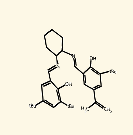 C=C(C)c1cc(/C=N/C2CCCC[C@@H]2/N=C/c2cc(C(C)(C)C)cc(C(C)(C)C)c2O)c(O)c(C(C)(C)C)c1